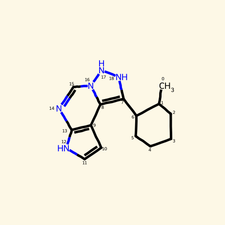 CC1CCCCC1C1=C2c3cc[nH]c3N=CN2NN1